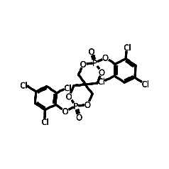 O=P1(Oc2c(Cl)cc(Cl)cc2Cl)OCC2(CO1)COP(=O)(Oc1c(Cl)cc(Cl)cc1Cl)OC2